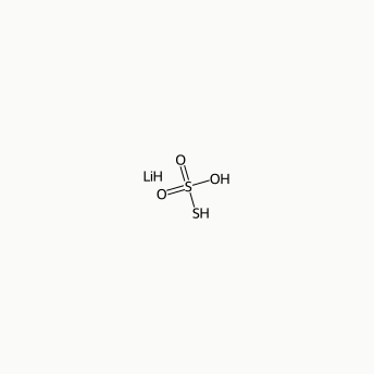 O=S(=O)(O)S.[LiH]